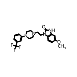 COc1ccc2c(c1)[nH]c(=O)n2CCN1CCN(c2cccc(C(F)(F)F)c2)CC1